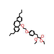 CCCc1ccc2c(c1)C=Cc1cc(CCC)ccc1C2OCCOc1ccc(CC(OCC)C(=O)OCC)cc1